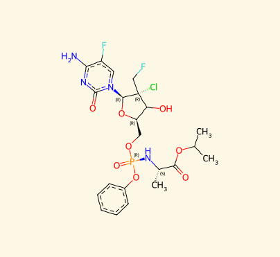 CC(C)OC(=O)[C@H](C)N[P@@](=O)(OC[C@H]1O[C@@H](n2cc(F)c(N)nc2=O)[C@@](Cl)(CF)C1O)Oc1ccccc1